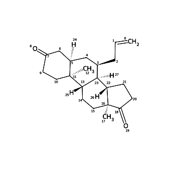 C=CC[C@@H]1C[C@@H]2CC(=O)CC[C@]2(C)[C@H]2CC[C@]3(C)C(=O)CC[C@H]3[C@H]12